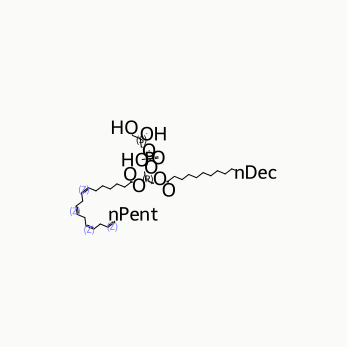 CCCCC/C=C\C/C=C\C/C=C\C/C=C\CCCCCC(=O)O[C@H](COC(=O)CCCCCCCCCCCCCCCCCCC)COP(=O)(O)OC[C@@H](O)CO